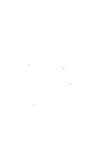 Cc1cccc(-c2nn(CC(C)C)c(O)c2CC(C)C)c1